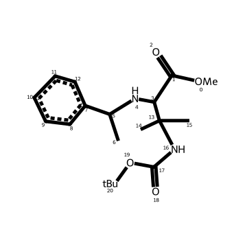 COC(=O)C(NC(C)c1ccccc1)C(C)(C)NC(=O)OC(C)(C)C